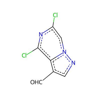 O=Cc1cnn2cc(Cl)nc(Cl)c12